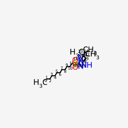 CCCCCCCCCCCCS(=O)(=O)c1n[nH]c2cc(C(C)(C)C)nn12